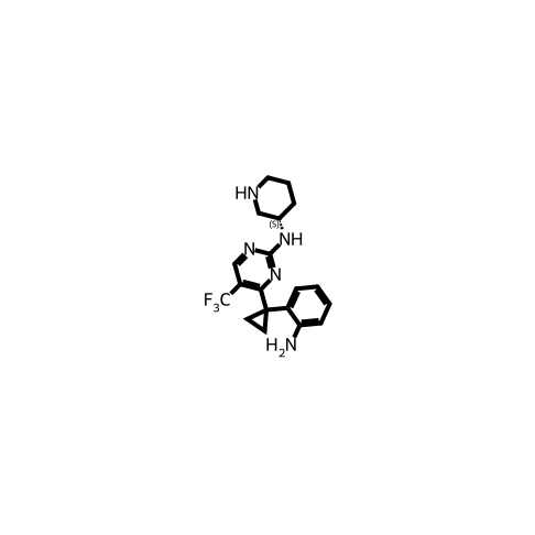 Nc1ccccc1C1(c2nc(N[C@H]3CCCNC3)ncc2C(F)(F)F)CC1